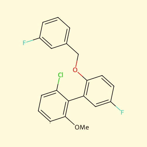 COc1[c]ccc(Cl)c1-c1cc(F)ccc1OCc1cccc(F)c1